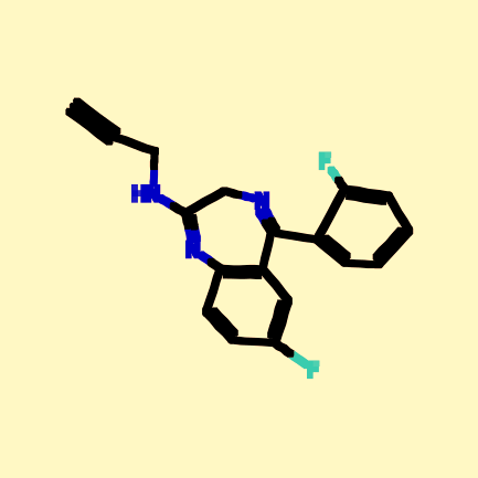 C#CCNC1=Nc2ccc(F)cc2C(c2ccccc2F)=NC1